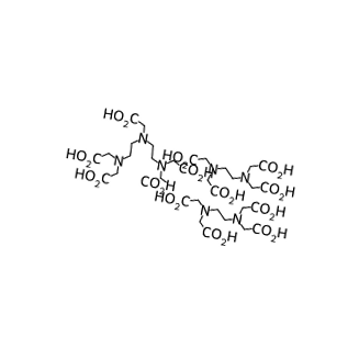 O=C(O)CN(CCN(CC(=O)O)CC(=O)O)CC(=O)O.O=C(O)CN(CCN(CC(=O)O)CC(=O)O)CC(=O)O.O=C(O)CN(CCN(CC(=O)O)CC(=O)O)CCN(CC(=O)O)CC(=O)O